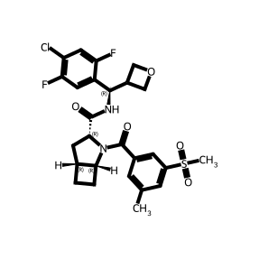 Cc1cc(C(=O)N2[C@@H](C(=O)N[C@@H](c3cc(F)c(Cl)cc3F)C3COC3)C[C@H]3CC[C@H]32)cc(S(C)(=O)=O)c1